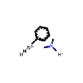 CN(C)C.Cc1ccccc1.[Al+3].[H-].[H-].[H-]